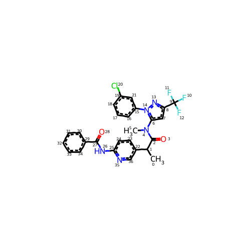 CC(C(=O)N(C)c1cc(C(F)(F)F)nn1-c1cccc(Cl)c1)c1ccc(NC(=O)c2ccccc2)nc1